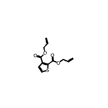 C=CCOC(=O)c1ccsc1C(=O)OCC=C